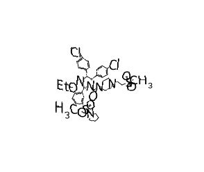 CCOc1cc(C)c(S(=O)(=O)N2CCCC2)cc1C1=N[C@@H](c2ccc(Cl)cc2)[C@@H](c2ccc(Cl)cc2)N1C(=O)N1CCN(CCS(C)(=O)=O)CC1